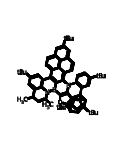 CC1=CC(C)c2cc(C(C)(C)C)cc3c2N1B1c2oc4ccccc4c2N(c2ccc(C(C)(C)C)cc2-c2cc(C(C)(C)C)cc(C(C)(C)C)c2)c2c1c-3c1ccc3cc(C(C)(C)C)cc4ccc2c1c34